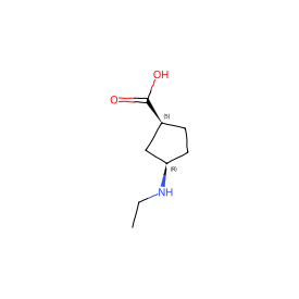 CCN[C@@H]1CC[C@H](C(=O)O)C1